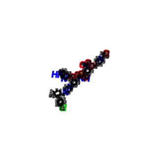 CC1(C)CCC(CN2CCN(c3ccc(C(=O)NS(=O)(=O)c4ccc(OCC5CCN(C6COC6)CC5)c([N+](=O)[O-])c4)c(Oc4cnc5[nH]ccc5c4)c3)CC2)=C(c2ccc(Cl)cc2)C1